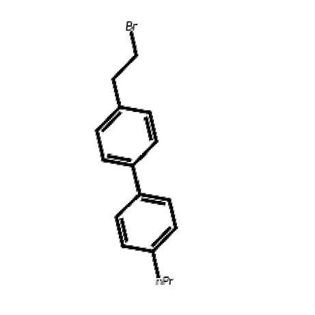 CCCc1ccc(-c2ccc(CCBr)cc2)cc1